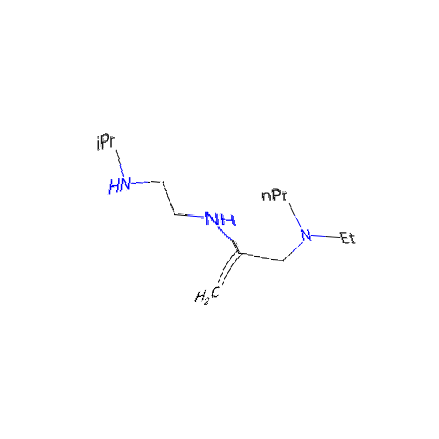 C=C(CN(CC)CCC)NCCNC(C)C